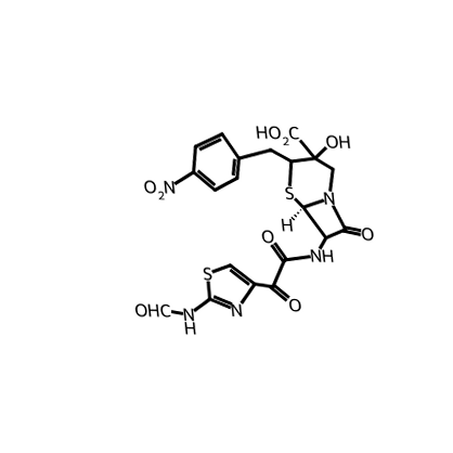 O=CNc1nc(C(=O)C(=O)NC2C(=O)N3CC(O)(C(=O)O)C(Cc4ccc([N+](=O)[O-])cc4)S[C@H]23)cs1